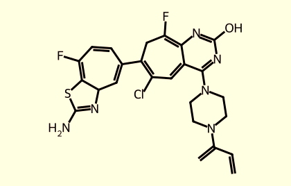 C=CC(=C)N1CCN(c2nc(O)nc3c2=CC(Cl)=C(C2=CC4N=C(N)SC4=C(F)C=C2)CC=3F)CC1